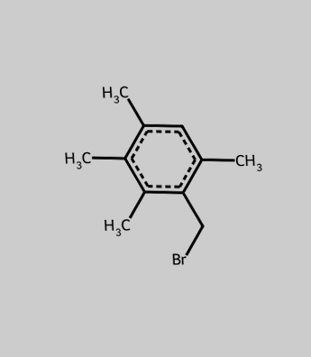 Cc1cc(C)c(CBr)c(C)c1C